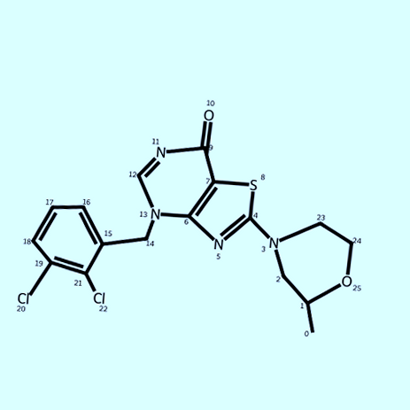 CC1CN(c2nc3c(s2)c(=O)ncn3Cc2cccc(Cl)c2Cl)CCO1